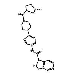 CN1CCC(C(=O)N2CCC(c3ccc(NC(=O)C4NCc5cnccc54)cc3)CC2)C1